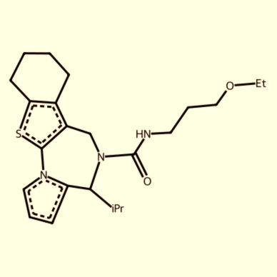 CCOCCCNC(=O)N1Cc2c(sc3c2CCCC3)-n2cccc2C1C(C)C